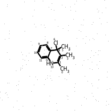 CC1=C(C)C(C)(Cl)c2ccccc2N1